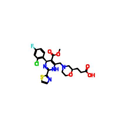 COC(=O)C1=C(CN2CCO[C@H](CCC(=O)O)C2)NC(c2nccs2)=N[C@H]1c1ccc(F)cc1Cl